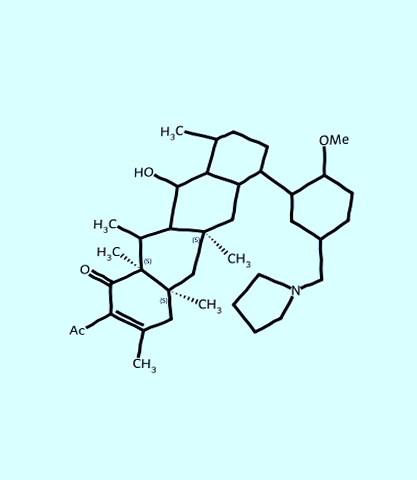 COC1CCC(CN2CCCC2)CC1C1CCC(C)C2C(O)C3C(C)[C@]4(C)C(=O)C(C(C)=O)=C(C)C[C@]4(C)C[C@]3(C)CC12